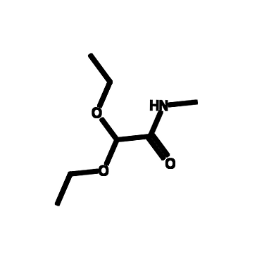 CCOC(OCC)C(=O)NC